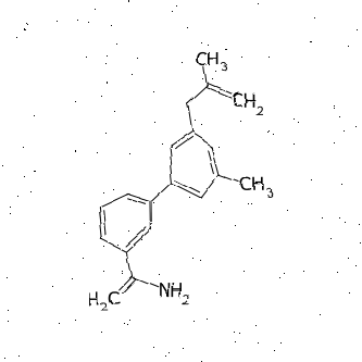 C=C(C)Cc1cc(C)cc(-c2cccc(C(=C)N)c2)c1